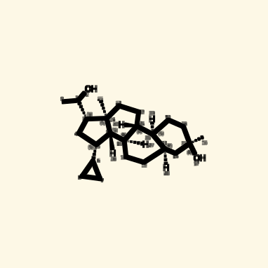 CC(O)[C@H]1C[C@@H](C2CC2)[C@H]2[C@@H]3CC[C@@H]4C[C@](C)(O)CC[C@@H]4[C@H]3CC[C@@]21C